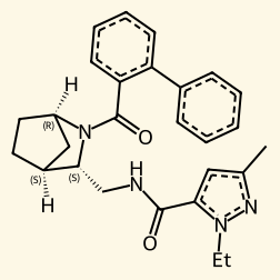 CCn1nc(C)cc1C(=O)NC[C@@H]1[C@H]2CC[C@H](C2)N1C(=O)c1ccccc1-c1ccccc1